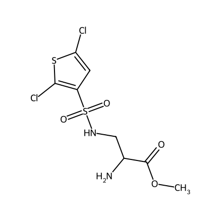 COC(=O)C(N)CNS(=O)(=O)c1cc(Cl)sc1Cl